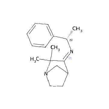 C[C@H](/N=C1/C2CCN(C2)C1(C)C)c1ccccc1